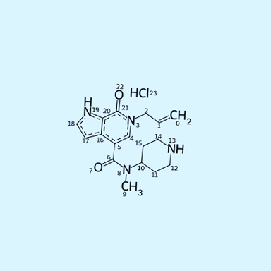 C=CCn1cc(C(=O)N(C)C2CCNCC2)c2cc[nH]c2c1=O.Cl